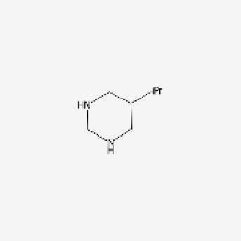 CC(C)C1CNCNC1